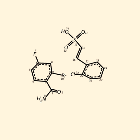 NC(=O)c1ccc(F)cc1Br.O=S(=O)(O)C=Cc1ccccc1Cl